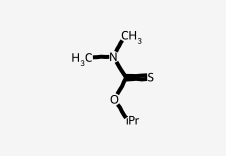 CC(C)OC(=S)N(C)C